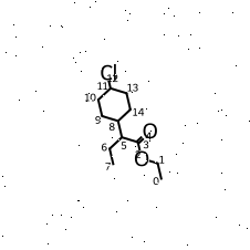 CCOC(=O)C(CC)C1CCC(Cl)CC1